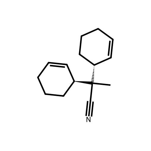 CC(C#N)([C@@H]1C=CCCC1)[C@H]1C=CCCC1